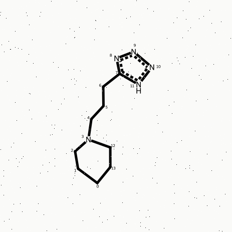 C1CCN(CCCc2nnn[nH]2)CC1